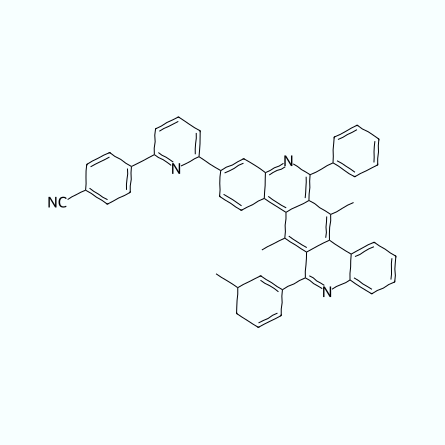 Cc1c2c(-c3ccccc3)nc3cc(-c4cccc(-c5ccc(C#N)cc5)n4)ccc3c2c(C)c2c(C3=CC(C)CC=C3)nc3ccccc3c12